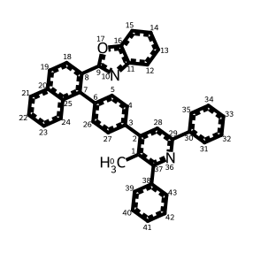 Cc1c(-c2ccc(-c3c(-c4nc5ccccc5o4)ccc4ccccc34)cc2)cc(-c2ccccc2)nc1-c1ccccc1